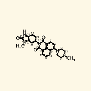 CN1CCN(c2ccc3c4c(cccc24)C(=O)N(c2ccc4[nH]c(=O)n(C)c4c2)C3=O)CC1